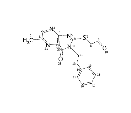 Cc1cnc2nc(SCC=O)n(CCc3ccccc3)c(=O)c2n1